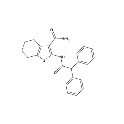 NC(=O)c1c(NC(=O)C(c2ccccc2)c2ccccc2)sc2c1CCCC2